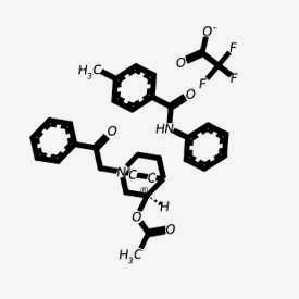 CC(=O)O[C@H]1C[N+]2(CC(=O)c3ccccc3)CCC1CC2.Cc1ccc(C(=O)Nc2ccccc2)cc1.O=C([O-])C(F)(F)F